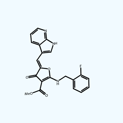 COC(=O)C1=C(NCc2ccccc2F)O/C(=C\c2c[nH]c3ncccc23)C1=O